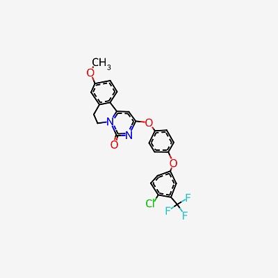 COc1ccc2c(c1)CCn1c-2cc(Oc2ccc(Oc3ccc(Cl)c(C(F)(F)F)c3)cc2)nc1=O